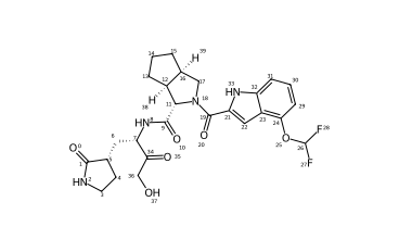 O=C1NCC[C@H]1C[C@H](NC(=O)[C@@H]1[C@H]2CCC[C@H]2CN1C(=O)c1cc2c(OC(F)F)cccc2[nH]1)C(=O)CO